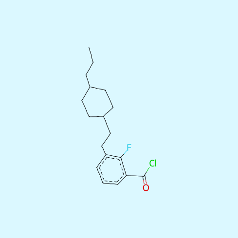 CCCC1CCC(CCc2cccc(C(=O)Cl)c2F)CC1